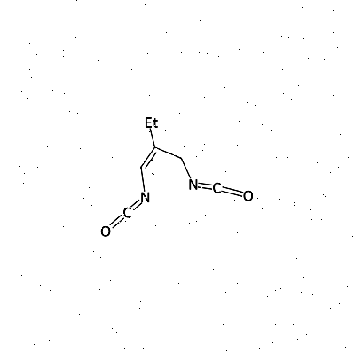 CCC(=CN=C=O)CN=C=O